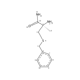 C[C@](N)(CSCc1ccccc1)C(N)=O